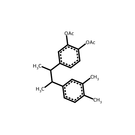 CC(=O)Oc1ccc(C(C)C(C)c2ccc(C)c(C)c2)cc1OC(C)=O